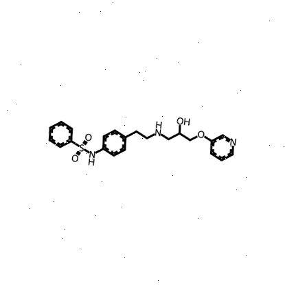 O=S(=O)(Nc1ccc(CCNCC(O)COc2cccnc2)cc1)c1ccccc1